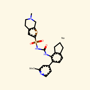 COc1cc(-c2ccc3c(c2NC(=O)NS(=O)(=O)c2cc4c(s2)CN(C)CC4)CCC3)ccn1.[Na]